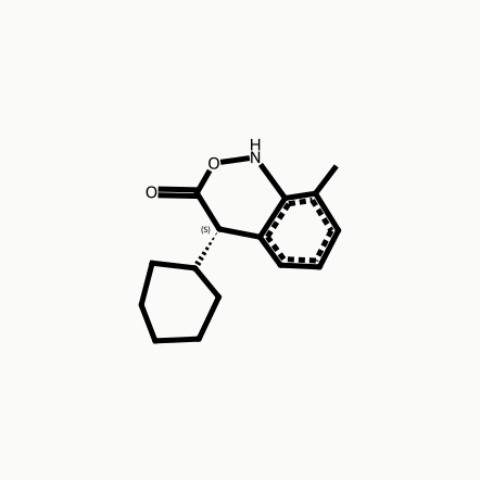 Cc1cccc2c1NOC(=O)[C@H]2C1CCCCC1